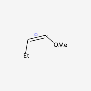 CC/C=[C]\OC